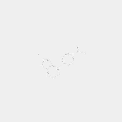 Nc1nc2ccnc(-c3ccc(C(=O)O)cc3)n2n1